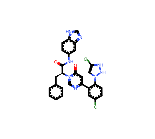 O=C(Nc1ccc2[nH]cnc2c1)[C@H](Cc1ccccc1)n1cnc(-c2cc(Cl)ccc2N2C=C(Cl)NN2)cc1=O